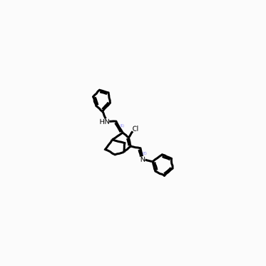 ClC1=C(/C=N/c2ccccc2)C2CCC(C2)/C1=C\Nc1ccccc1